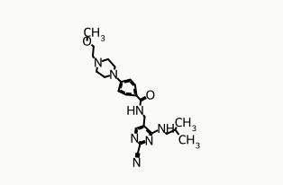 COCCN1CCN(c2ccc(C(=O)NCc3cnc(C#N)nc3NCC(C)C)cc2)CC1